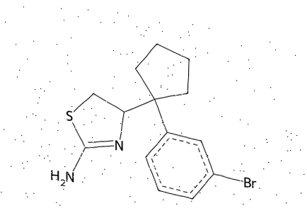 NC1=NC(C2(c3cccc(Br)c3)CCCC2)CS1